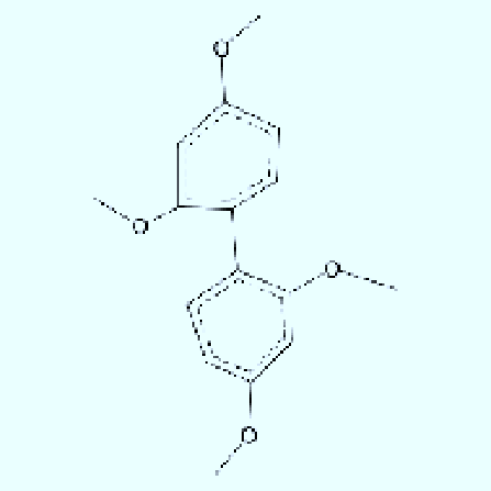 COc1ccc(-c2ccc(OC)cc2OC)c(OC)c1